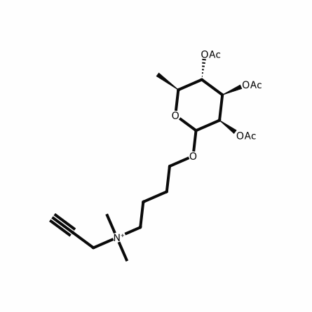 C#CC[N+](C)(C)CCCCOC1O[C@@H](C)[C@H](OC(C)=O)[C@@H](OC(C)=O)[C@H]1OC(C)=O